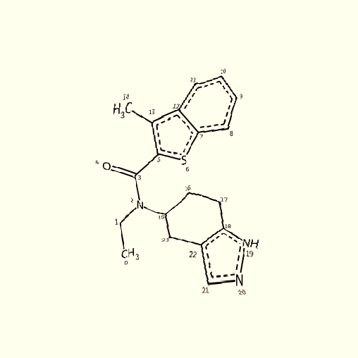 CCN(C(=O)c1sc2ccccc2c1C)C1CCc2[nH]ncc2C1